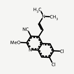 COc1nc2cc(Cl)c(Cl)cc2c(/C=C/N(C)C)c1C#N